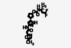 Cc1cnc(CC(=O)Nc2cc([C@H]3CC[C@@H](OC(=O)NC(C)CC(F)F)C3)[nH]n2)o1